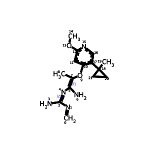 C=N/C(N)=N\C(N)=C(/C)Oc1cc(OC)ncc1C1(C)CC1